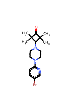 CC1(C)C(=O)C(C)(C)C1N1CCN(c2ccc(Br)cn2)CC1